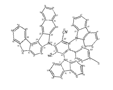 Cc1ccc(-c2c(-n3c4c(c5ccccc53)C=CCC4)c(C#N)c(-n3c4cc5ccccc5cc4c4c5c(ccc43)oc3ccccc35)c(C#N)c2-n2c3ccccc3c3ccccc32)cc1